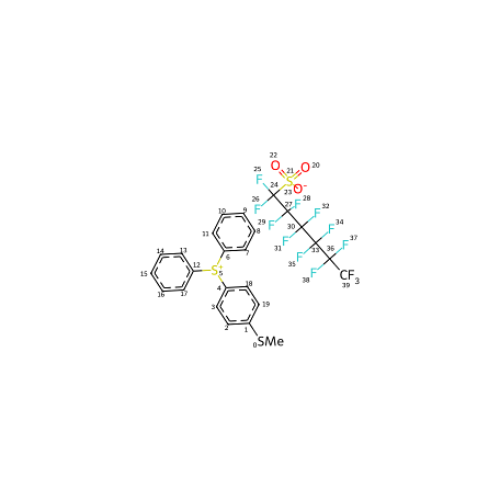 CSc1ccc([S+](c2ccccc2)c2ccccc2)cc1.O=S(=O)([O-])C(F)(F)C(F)(F)C(F)(F)C(F)(F)C(F)(F)C(F)(F)F